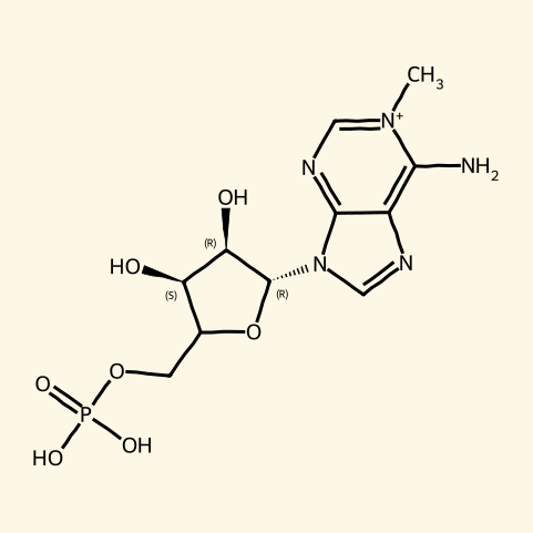 C[n+]1cnc2c(ncn2[C@@H]2OC(COP(=O)(O)O)[C@@H](O)[C@H]2O)c1N